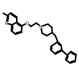 Cc1ccc2c(OCCN3CCC(Cc4cccc(-c5ccccc5)c4)CC3)cccc2n1